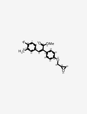 COC(=O)/C(=C\c1ccc(F)c(C)c1)c1ccc(OCC2CO2)cc1